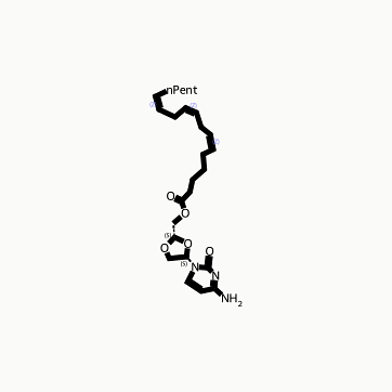 CCCCC/C=C\C/C=C\C/C=C\CCCCC(=O)OC[C@H]1OC[C@@H](n2ccc(N)nc2=O)O1